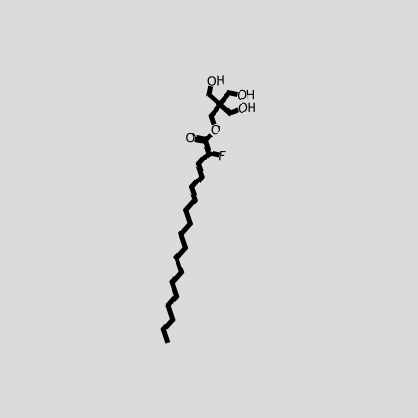 CCCCCCCCCCCCCCCCC(F)C(=O)OCC(CO)(CO)CO